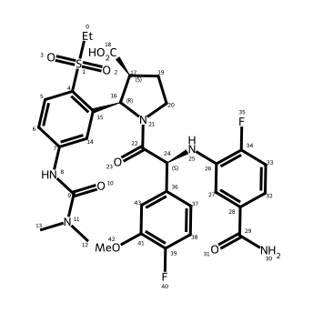 CCS(=O)(=O)c1ccc(NC(=O)N(C)C)cc1[C@H]1[C@@H](C(=O)O)CCN1C(=O)[C@@H](Nc1cc(C(N)=O)ccc1F)c1ccc(F)c(OC)c1